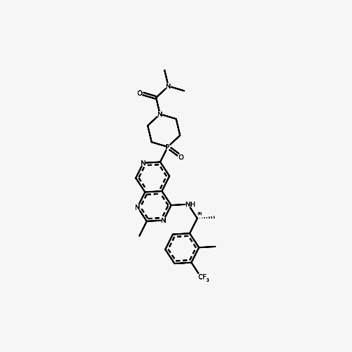 Cc1nc(N[C@H](C)c2cccc(C(F)(F)F)c2C)c2cc(P3(=O)CCN(C(=O)N(C)C)CC3)ncc2n1